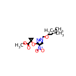 COC(=O)C1(Oc2nn(COCC[Si](C)(C)C)cc2[N+](=O)[O-])CC1